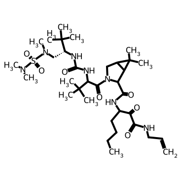 C=CCNC(=O)C(=O)C(CCCC)NC(=O)C1C2C(CN1C(=O)C(NC(=O)N[C@H](CN(C)S(=O)(=O)N(C)C)C(C)(C)C)C(C)(C)C)C2(C)C